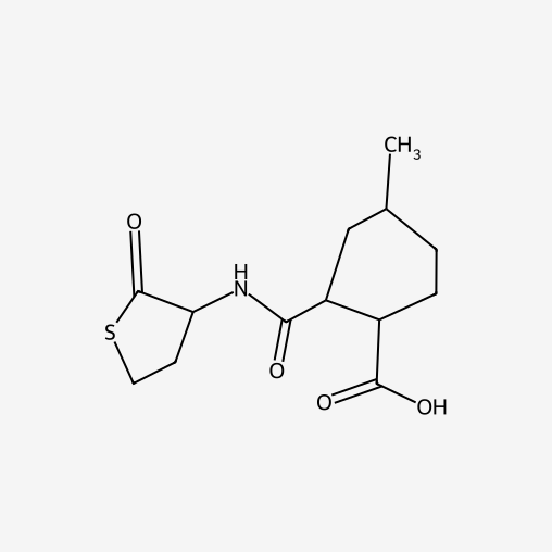 CC1CCC(C(=O)O)C(C(=O)NC2CCSC2=O)C1